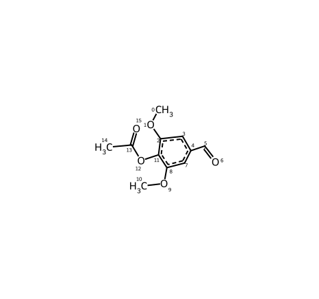 COc1cc([C]=O)cc(OC)c1OC(C)=O